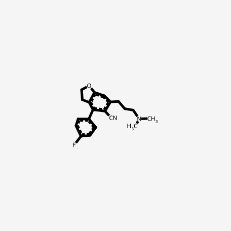 CN(C)CCCc1cc2c(c(-c3ccc(F)cc3)c1C#N)CCO2